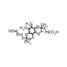 Cc1c(C)c2c(c3c1OC(C)(CCOCO)CC3)CCC(C)(CCC(=O)O)O2